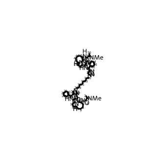 CN[C@@H](C)C(=O)N[C@H]1CCCC[C@H]2CC[C@@H](C(=O)N[C@H](c3ccccc3)c3cn(CCCCCCCCn4cc([C@@H](NC(=O)[C@@H]5CC[C@@H]6CCCC[C@H](NC(=O)[C@H](C)NC)C(=O)N65)c5ccccc5)nn4)nn3)N2C1=O